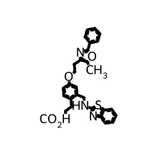 Cc1oc(-c2ccccc2)nc1CCOc1ccc(CCC(=O)O)c(CNc2nc3ccccc3s2)c1